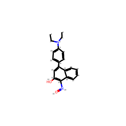 CCN(CC)c1ccc(-c2cc(O)c(N=O)c3ccccc23)cc1